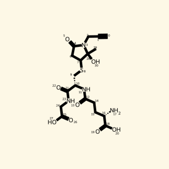 C#CCN1C(=O)CC(SC[C@H](NC(=O)CC[C@H](N)C(=O)O)C(=O)NCC(=O)O)C1(C)O